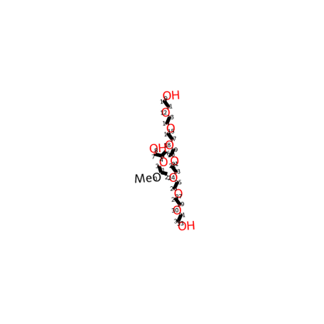 COC(C)COC(C)CO.OCCOCCOCCOCCOCCOCCOCCOCCO